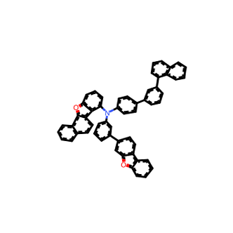 c1cc(-c2ccc(N(c3cccc(-c4ccc5c(c4)oc4ccccc45)c3)c3cccc4oc5c6ccccc6ccc5c34)cc2)cc(-c2cccc3ccccc23)c1